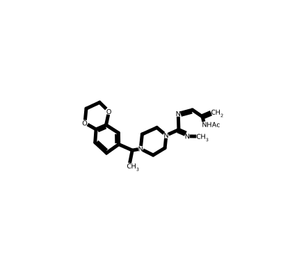 C=C(/C=N\C(=N/C)N1CCN(C(C)c2ccc3c(c2)OCCO3)CC1)NC(C)=O